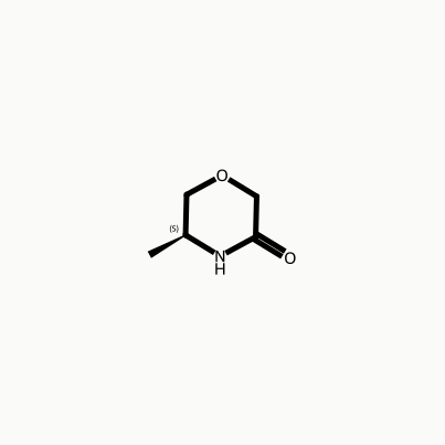 C[C@H]1COCC(=O)N1